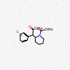 COC(=O)C(C1=C[C@@H](I)CC=C1)C1CCCCN1C(=O)OC